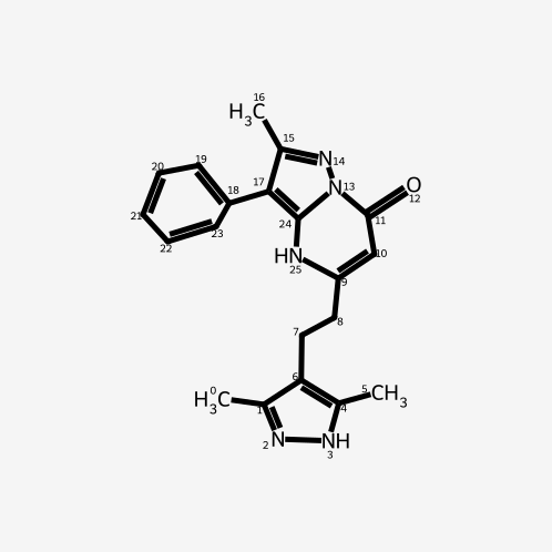 Cc1n[nH]c(C)c1CCc1cc(=O)n2nc(C)c(-c3ccccc3)c2[nH]1